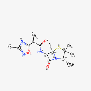 CCc1noc(C(C)C(=O)NC2C(=O)N3[C@@H]2SC(C)(C)[C@@H]3C(=O)O)n1